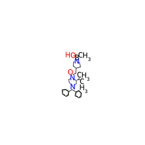 CB(O)N1CCC(CC(=O)N2CCN(C(c3ccccc3)c3ccccc3)C[C@@H]2C(C)C)CC1